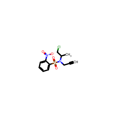 C#CCN(C(C)CCl)S(=O)(=O)c1ccccc1[N+](=O)[O-]